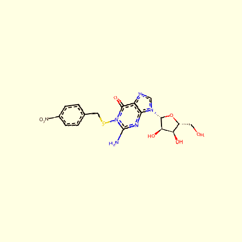 Nc1nc2c(ncn2[C@@H]2O[C@H](CO)[C@@H](O)[C@H]2O)c(=O)n1SCc1ccc([N+](=O)[O-])cc1